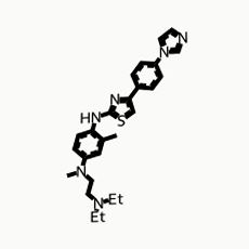 CCN(CC)CCN(C)c1ccc(Nc2nc(-c3ccc(-n4ccnc4)cc3)cs2)c(C)c1